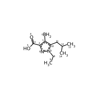 Bc1c(C(=O)O)nn(CC)c1CC(C)C